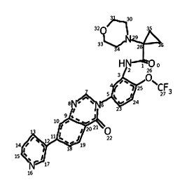 O=C(Nc1cc(-n2cnc3cc(-c4cccnc4)ccc3c2=O)ccc1OC(F)(F)F)C1(N2CCOCC2)CC1